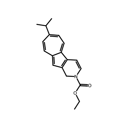 CCOC(=O)N1C=Cc2c(cc3ccc(C(C)C)ccc2-3)C1